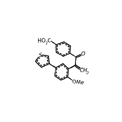 C=C(C(=O)c1ccc(C(=O)O)cc1)c1cc(-c2ccsc2)ccc1OC